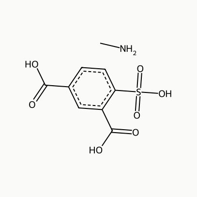 CN.O=C(O)c1ccc(S(=O)(=O)O)c(C(=O)O)c1